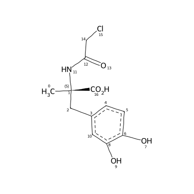 C[C@@](Cc1ccc(O)c(O)c1)(NC(=O)CCl)C(=O)O